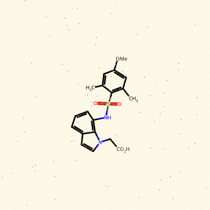 COc1cc(C)c(S(=O)(=O)Nc2cccc3ccn(CC(=O)O)c23)c(C)c1